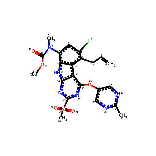 C=CCc1c(F)cc(N(C)C(=O)OC(C)(C)C)c2[nH]c3nc(S(C)(=O)=O)nc(Oc4cnc(C)nc4)c3c12